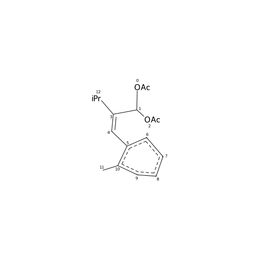 CC(=O)OC(OC(C)=O)C(=Cc1ccccc1C)C(C)C